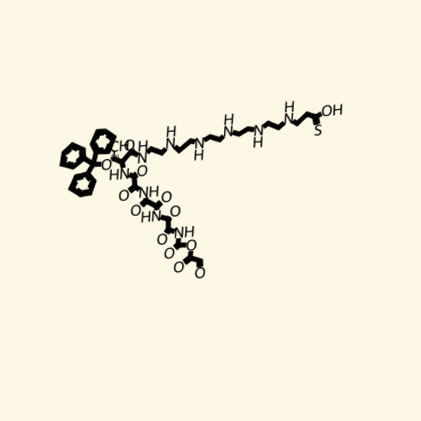 C[C@@H](OC(c1ccccc1)(c1ccccc1)c1ccccc1)C(NC(=O)C(=O)NC(=O)C(=O)NC(=O)C(=O)NC(=O)OC(=O)C=O)C(=O)NCCNCCNCCNCCNCCNCCC(O)=S